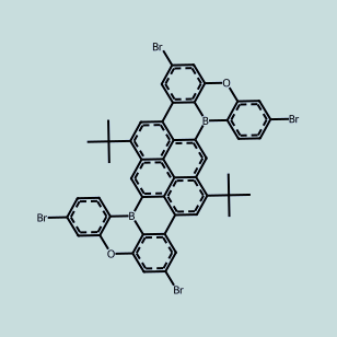 CC(C)(C)c1cc2c3c(cc4c(C(C)(C)C)cc5c6c(cc1c3c46)B1c3ccc(Br)cc3Oc3cc(Br)cc-5c31)B1c3ccc(Br)cc3Oc3cc(Br)cc-2c31